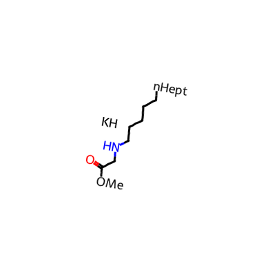 CCCCCCCCCCCCNCC(=O)OC.[KH]